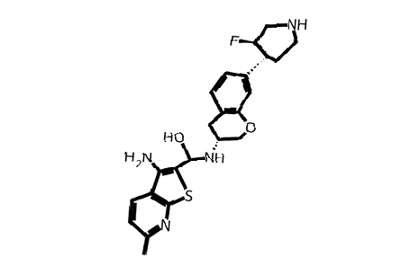 Cc1ccc2c(N)c(C(O)N[C@H]3COc4cc([C@H]5CCNC[C@@H]5F)ccc4C3)sc2n1